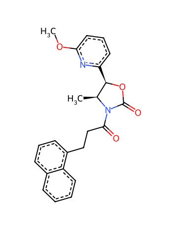 COc1cccc([C@H]2OC(=O)N(C(=O)CCc3cccc4ccccc34)[C@H]2C)n1